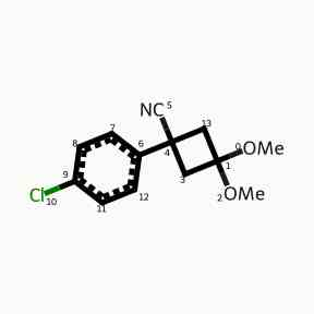 COC1(OC)CC(C#N)(c2ccc(Cl)cc2)C1